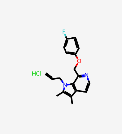 C=CCn1c(C)c(C)c2ccnc(COc3ccc(F)cc3)c21.Cl